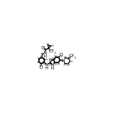 O=C(NCc1ccc(Cl)c(Nc2nc3cc(Cl)c(N4CCCC(C(F)(F)F)C4)cc3[nH]2)c1)C1(C(F)(F)F)CC1